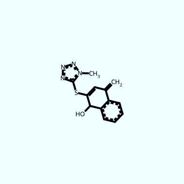 C=C1C=C(Sc2nnnn2C)C(O)c2ccccc21